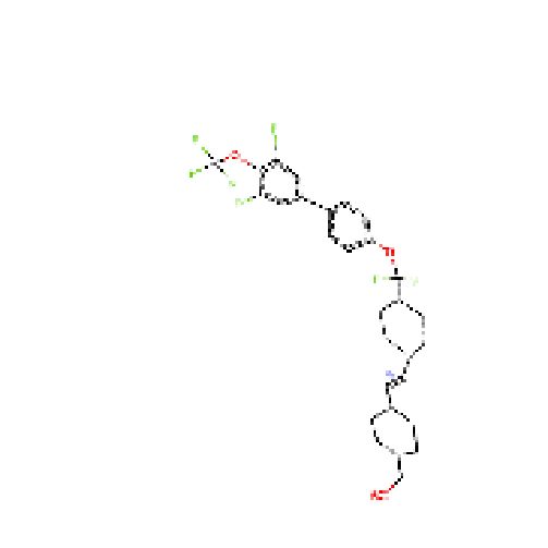 OCC1CCC(/C=C/C2CCC(C(F)(F)Oc3ccc(-c4cc(F)c(OC(F)(F)F)c(F)c4)cc3)CC2)CC1